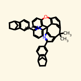 CC(C)(C)c1ccc2c(c1)C1(c3cccc(-c4ccc5c(c4)C4CCC5C4)n3)c3cc(cc(-c4ccc5c(c4)C4CCC5C4)n3)C(C)(C)c3ccc(c1c3)O2